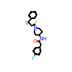 C[C@@H](C[C@H](C)N1CCC(NC(=O)Cc2ccc(F)cc2)CC1)c1ccccc1